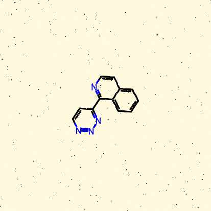 c1ccc2c(-c3ccnnn3)nccc2c1